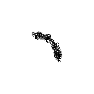 O=C1c2ccc3c4ccc5c6c(ccc(c7ccc(c2c37)C(=O)N1CCCOCCCN1C(=O)c2ccc3c7ccc8c9c(ccc(c%10ccc(c2c3%10)C1=O)c97)C(=O)N(c1ccc(F)cc1F)C8=O)c64)C(=O)N(c1ccc(F)cc1F)C5=O